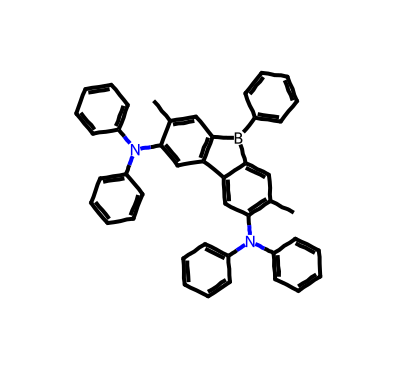 Cc1cc2c(cc1N(c1ccccc1)c1ccccc1)-c1cc(N(c3ccccc3)c3ccccc3)c(C)cc1B2c1ccccc1